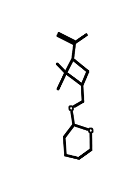 C=C(C)C1CC(COC2CCCCO2)C1(C)C